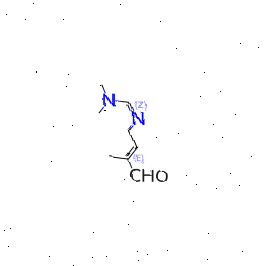 C/C(C=O)=C\C/N=C\N(C)C